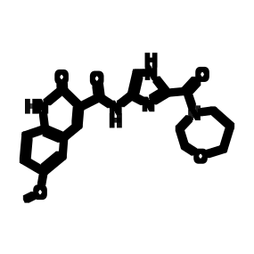 COc1ccc2[nH]c(=O)c(C(=O)Nc3c[nH]c(C(=O)N4CCCOCC4)n3)cc2c1